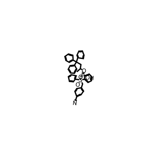 CC(CC(c1ccccc1)(c1ccccc1)c1ccccc1)OB(O)OS(=O)(Cc1ccc(C#N)cc1)(c1ccccc1)c1ccccc1